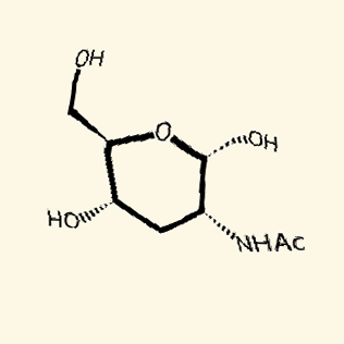 CC(=O)N[C@@H]1C[C@H](O)[C@@H](CO)O[C@@H]1O